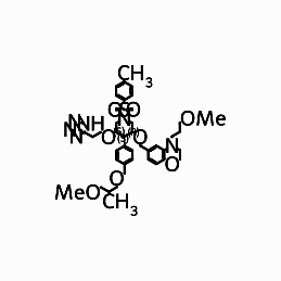 COCCCN1CCOc2ccc(CO[C@H]3CN(S(=O)(=O)c4ccc(C)cc4)C[C@@H](OCCc4nnn[nH]4)[C@@H]3c3ccc(COCC(C)COC)cc3)cc21